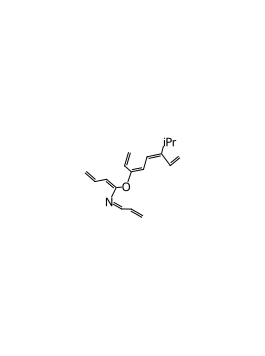 C=C/C=N\C(=C/C=C)O/C(C=C)=C/C=C(\C=C)C(C)C